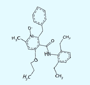 CCCOc1cc(C)[n+]([O-])c(Cc2ccccc2)c1C(=O)Nc1c(CC)cccc1CC